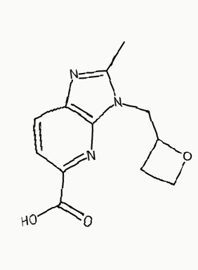 Cc1nc2ccc(C(=O)O)nc2n1CC1CCO1